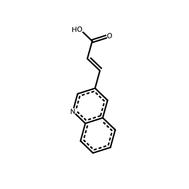 O=C(O)/C=C/c1cnc2ccccc2c1